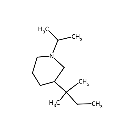 CCC(C)(C)C1CCCN(C(C)C)C1